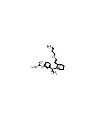 C=CCCOCCC1C2CCC(O2)C1C(C)c1cccc(OC(CCCCCC)C(=O)O)c1